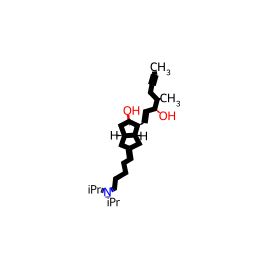 CC#CC[C@H](C)[C@H](O)/C=C/[C@@H]1[C@H]2C/C(=C/CCCCN(C(C)C)C(C)C)C[C@H]2C[C@H]1O